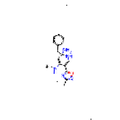 Cc1noc(C2=CNC(N)(Cc3ccccc3)C=C2NC(C)C)n1